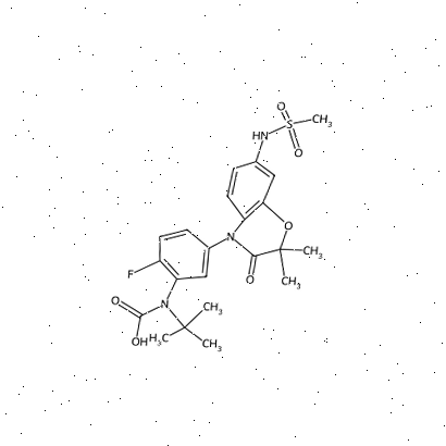 CC1(C)Oc2cc(NS(C)(=O)=O)ccc2N(c2ccc(F)c(N(C(=O)O)C(C)(C)C)c2)C1=O